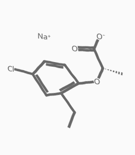 CCc1cc(Cl)ccc1O[C@@H](C)C(=O)[O-].[Na+]